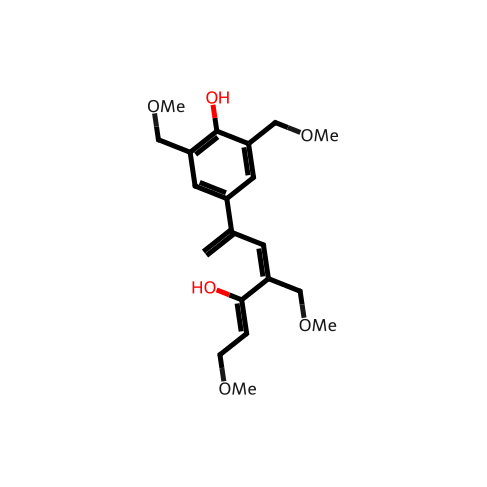 C=C(/C=C(COC)\C(O)=C\COC)c1cc(COC)c(O)c(COC)c1